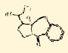 CC(C)C1CCN2C(=O)c3ccccc3NC[C@H]12